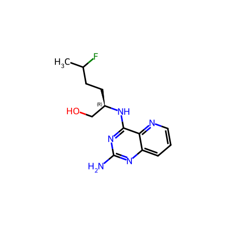 CC(F)CC[C@H](CO)Nc1nc(N)nc2cccnc12